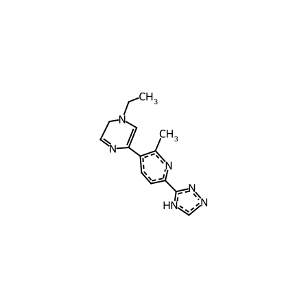 CCN1C=C(c2ccc(-c3nnc[nH]3)nc2C)N=CC1